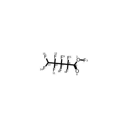 O=C(OF)C(F)(F)C(F)(F)C(F)(F)C(F)F